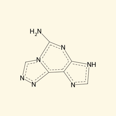 Nc1nc2[nH]cnc2c2nncn12